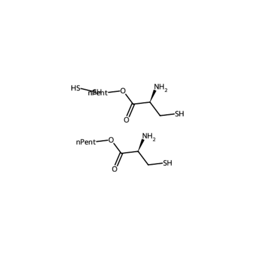 CCCCCOC(=O)[C@@H](N)CS.CCCCCOC(=O)[C@@H](N)CS.SS